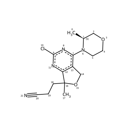 C[C@H]1COCCN1c1nc(Cl)nc2c1COC2(C)CCC#N